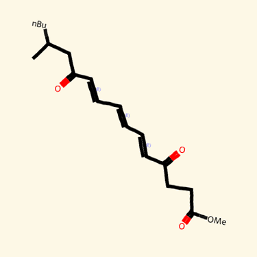 CCCCC(C)CC(=O)/C=C/C=C/C=C/C(=O)CCC(=O)OC